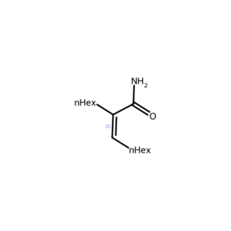 CCCCCC/C=C(/CCCCCC)C(N)=O